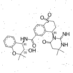 CC1(C)CC(=O)N([C@@H]2CCS(=O)(=O)c3ccc(C(=O)N[C@@H]4c5ccccc5OC(C)(C)[C@H]4O)cc32)C(=N)N1